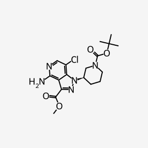 COC(=O)c1nn([C@@H]2CCCN(C(=O)OC(C)(C)C)C2)c2c(Cl)cnc(N)c12